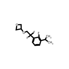 CC(C)c1cccc(C(F)(F)COC2COC2)c1F